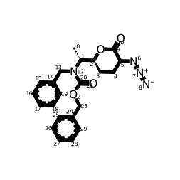 C[C@H]([C@@H]1CCC(N=[N+]=[N-])C(=O)O1)N(Cc1ccccc1)C(=O)OCc1ccccc1